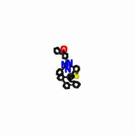 c1ccc(-c2cccc(-c3ccccc3-c3ccc4sc5cccc(-c6nc(-c7ccccc7)nc(-c7ccc8oc9ccccc9c8c7)n6)c5c4c3)c2)cc1